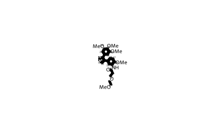 COCCOCCC(=O)Nc1cc(-c2csnc2-c2cc(OC)c(OC)c(OC)c2)ccc1OC